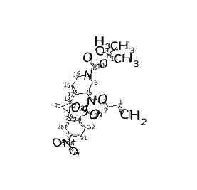 C=CCON(C1CN(C(=O)OC(C)(C)C)CC=C1C1CC1)S(=O)(=O)c1ccc([N+](=O)[O-])cc1